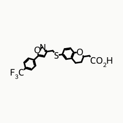 O=C(O)CC1CCc2cc(SCc3cc(-c4ccc(C(F)(F)F)cc4)on3)ccc2O1